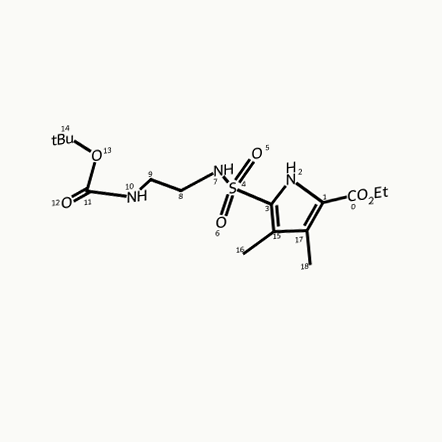 CCOC(=O)c1[nH]c(S(=O)(=O)NCCNC(=O)OC(C)(C)C)c(C)c1C